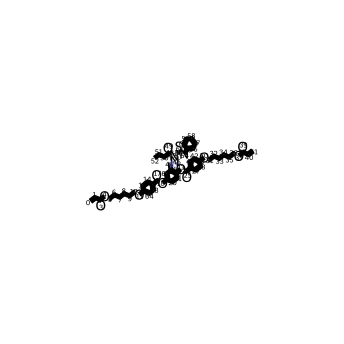 C=CC(=O)OCCCCCCOc1ccc(C(=O)Oc2ccc(OC(=O)c3ccc(OCCCCCCOC(=O)C=C)cc3)c(/C=N/N(C(=O)CCC)c3nc4ccccc4s3)c2)cc1